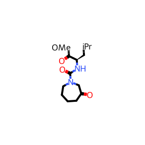 COC(=O)[C@@H](CC(C)C)NC(=O)N1CCCCC(=O)C1